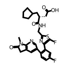 CN1C(=O)Cc2cc(-c3ccc(F)cc3-c3nc(CNC(=O)[C@@H](CC(=O)O)CC4CCCC4)sc3F)cnc21